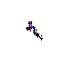 O=C(NC1CC1)c1ccc(-c2csc(NC(=O)C3CCN3C(=O)[C@H](NC(=O)N3CCOCC3)c3ccccc3)n2)cc1